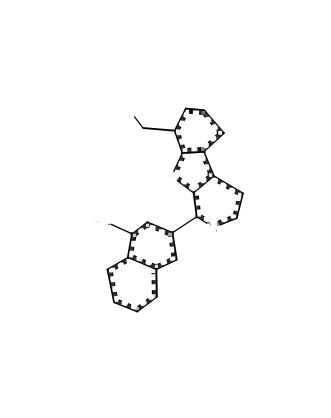 CC(C)Cc1cccc2c1[se]c1c(-c3cc(C(C)(C)C)c4ccccc4c3)nccc12